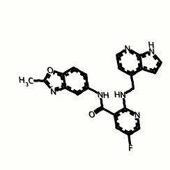 Cc1nc2cc(NC(=O)c3cc(F)cnc3NCc3ccnc4[nH]ccc34)ccc2o1